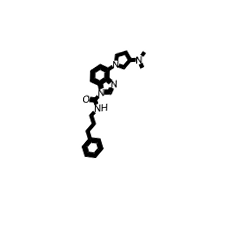 CN(C)C1CCN(c2cccc3c2ncn3C(=O)NCCCc2ccccc2)C1